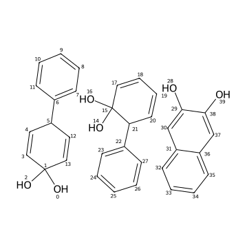 OC1(O)C=CC(c2ccccc2)C=C1.OC1(O)C=CC=CC1c1ccccc1.Oc1cc2ccccc2cc1O